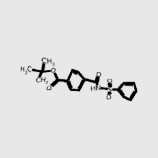 CC(C)(C)OC(=O)c1ccc(C(=O)NS(=O)(=O)c2ccccc2)cc1